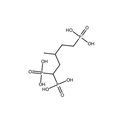 CC(CCP(=O)(O)O)CC(P(=O)(O)O)P(=O)(O)O